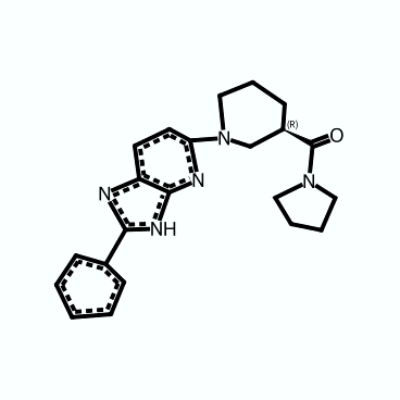 O=C([C@@H]1CCCN(c2ccc3nc(-c4ccccc4)[nH]c3n2)C1)N1CCCC1